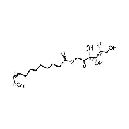 CCCCCCCC/C=C\CCCCCCCC(=O)OCC(=O)[C@H](O)[C@@H](O)[C@H](O)CO